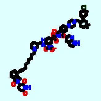 CC1(C)CCC(CN2CCN(c3ccc(C(=O)NS(=O)(=O)c4ccc(NCC5CCCN(CCCCCCCC#Cc6cccc7c6CN(C6CCC(=O)NC6=O)C7=O)C5)c([N+](=O)[O-])c4)c(Oc4cnc5[nH]ccc5c4)c3)CC2)=C(c2ccc(Cl)cc2)C1